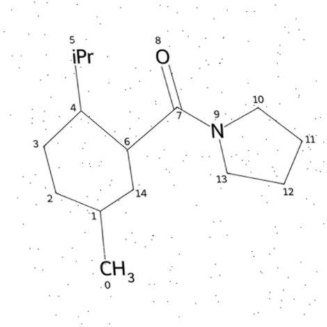 CC1CCC(C(C)C)C(C(=O)N2CCCC2)C1